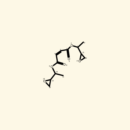 CC(OC(=O)/C=C\C(=O)OC(C)C1CO1)C1CO1